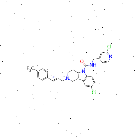 O=C(NCc1ccnc(Cl)c1)n1c2c(c3cc(Cl)ccc31)CN(C/C=C/c1ccc(C(F)(F)F)cc1)CC2